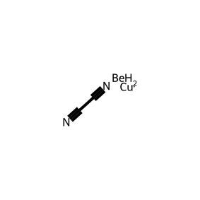 N#CC#N.[BeH2].[Cu]